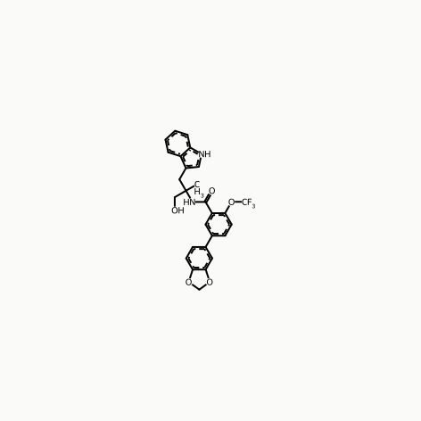 CC(CO)(Cc1c[nH]c2ccccc12)NC(=O)c1cc(-c2ccc3c(c2)OCO3)ccc1OC(F)(F)F